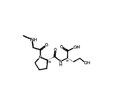 CNCC(=O)N1CCC[C@H]1C(=O)N[C@@H](CCO)C(=O)O